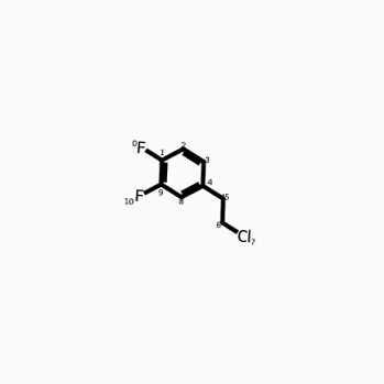 Fc1ccc([CH]CCl)cc1F